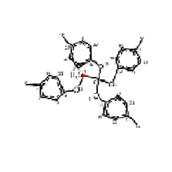 Cc1ccc(OC([SiH3])C(Oc2ccc(C)cc2)(Oc2ccc(C)cc2)Oc2ccc(C)cc2)cc1